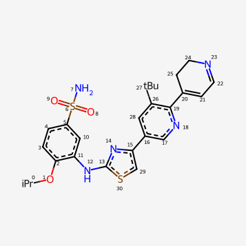 CC(C)Oc1ccc(S(N)(=O)=O)cc1Nc1nc(-c2cnc(C3=CC=NCC3)c(C(C)(C)C)c2)cs1